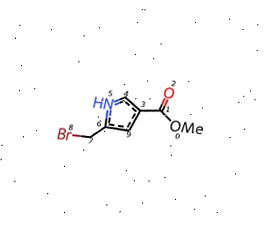 COC(=O)c1c[nH]c(CBr)c1